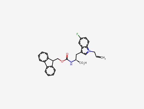 C=CCn1cc(C[C@H](NC(=O)OCC2c3ccccc3-c3ccccc32)C(=O)O)c2cc(F)ccc21